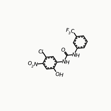 O=C(Nc1cccc(C(F)(F)F)c1)Nc1cc(Cl)c([N+](=O)[O-])cc1O